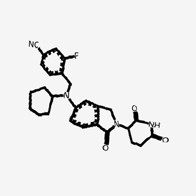 N#Cc1ccc(CN(c2ccc3c(c2)CN(C2CCC(=O)NC2=O)C3=O)C2CCCCC2)c(F)c1